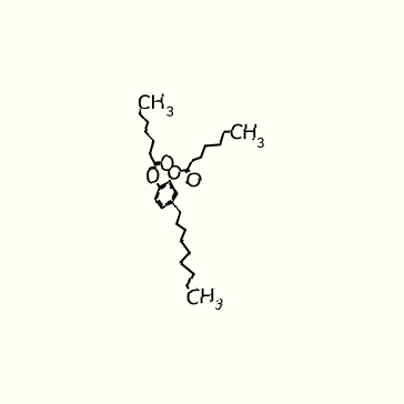 CCCCCCCCCc1ccc(OC(=O)CCCCCC)c(OC(=O)CCCCCC)c1